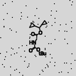 CC(C)(C)OC(=O)NCC(=O)OC(C1CC1)C1CC1